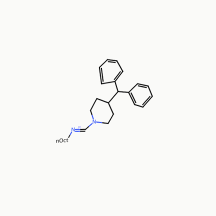 CCCCCCCC/N=C/N1CCC(C(c2ccccc2)c2ccccc2)CC1